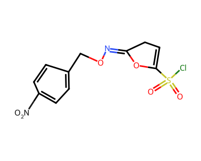 O=[N+]([O-])c1ccc(CON=C2CC=C(S(=O)(=O)Cl)O2)cc1